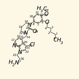 CCCCCOc1cc(N2CCCN(Cc3ccnc4c3c(Cl)cn4CCN)C2=O)ccc1OC